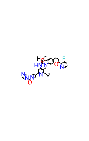 Cc1cc2c(cc1N1Cc3c(cc(C4CN(C(=O)n5ccnc5)C4)nc3C3CC3)NC1=O)OC(c1ncccc1F)CC2